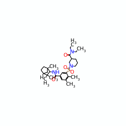 CCN(CC)C(=O)C1CCCN(S(=O)(=O)c2cc(C(=O)NC3C(C)(C)[C@@H]4CC[C@@]3(C)C4)cc(C)c2C)C1